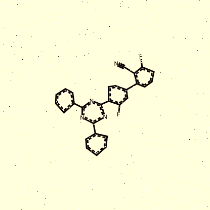 N#Cc1c(F)cccc1-c1ccc(-c2nc(-c3ccccc3)nc(-c3ccccc3)n2)c(F)c1